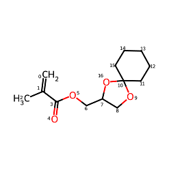 C=C(C)C(=O)OCC1COC2(CCCCC2)O1